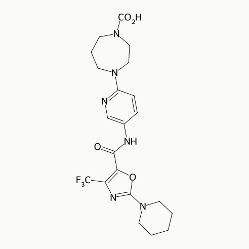 O=C(Nc1ccc(N2CCCN(C(=O)O)CC2)nc1)c1oc(N2CCCCC2)nc1C(F)(F)F